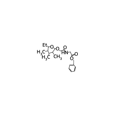 CCC1OC(OCC(=O)NCC(=O)OCc2ccccc2)C(C)C(C)C1C